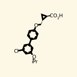 CC(C)Oc1cc(Cl)cc(-c2ccc(OC[C@@H]3C[C@H]3C(=O)O)cc2)c1